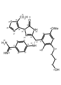 COc1cc(OCCCO)c(F)c([C@H](Nc2ccc(C(=N)N)cc2)c2nn(-c3ncsc3C(=O)O)c(=O)[nH]2)c1